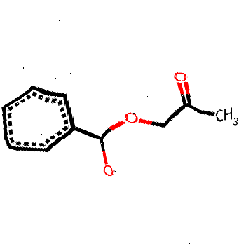 CC(=O)COC([O])c1ccccc1